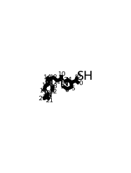 CC(CS)C1CCCN(C(C)CCC(C)N2CCN(C(C)C)CC2)C1